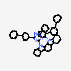 C1=Cc2c(n(-c3ccccc3-c3cccc(-c4ccccc4)c3)c3c2ccc2c4ccccc4n(-c4nc(-c5ccccc5)nc(-c5ccc(-c6ccccc6)cc5)n4)c23)CC1